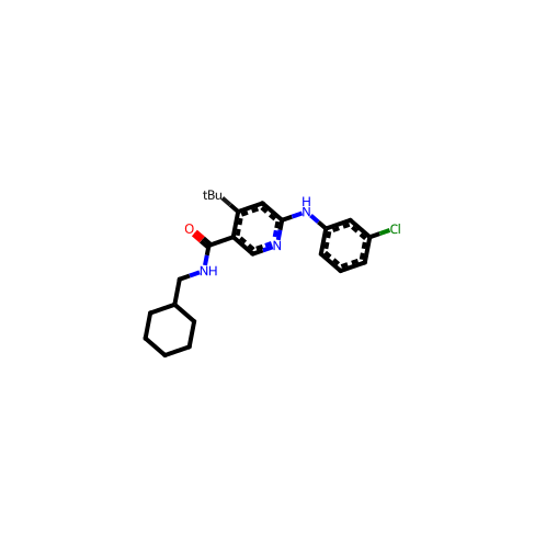 CC(C)(C)c1cc(Nc2cccc(Cl)c2)ncc1C(=O)NCC1CCCCC1